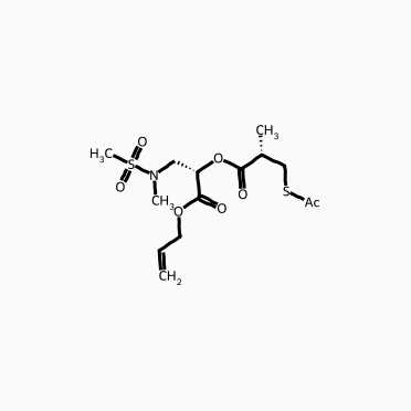 C=CCOC(=O)[C@H](CN(C)S(C)(=O)=O)OC(=O)[C@H](C)CSC(C)=O